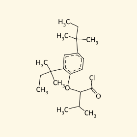 CCC(C)(C)c1ccc(OC(C(=O)Cl)C(C)C)c(C(C)(C)CC)c1